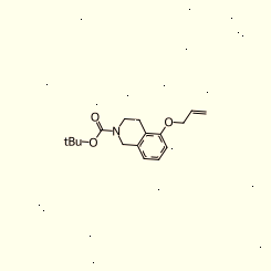 C=CCOc1cccc2c1CCN(C(=O)OC(C)(C)C)C2